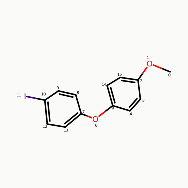 COc1ccc(Oc2ccc(I)cc2)cc1